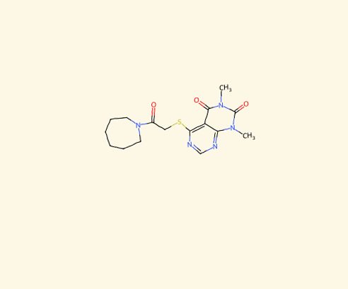 Cn1c(=O)c2c(SCC(=O)N3CCCCCC3)ncnc2n(C)c1=O